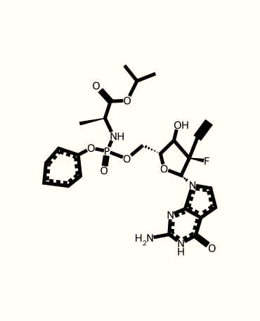 C#C[C@@]1(F)C(O)[C@@H](COP(=O)(N[C@@H](C)C(=O)OC(C)C)Oc2ccccc2)O[C@H]1n1ccc2c(=O)[nH]c(N)nc21